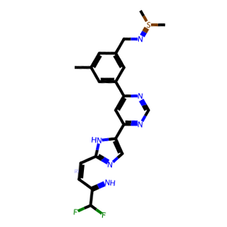 Cc1cc(CN=S(C)C)cc(-c2cc(-c3cnc(/C=C\C(=N)C(F)F)[nH]3)ncn2)c1